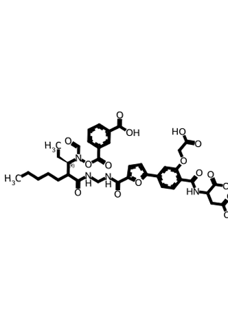 CCCCCC(C(=O)NCNC(=O)c1ccc(-c2ccc(C(=O)NC(CC(=O)O)C(=O)O)c(OCC(=O)O)c2)o1)[C@@H](CC)N(C=O)OC(=O)c1cccc(C(=O)O)c1